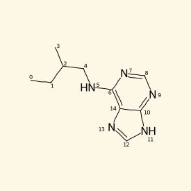 CCC(C)CNc1ncnc2[nH]cnc12